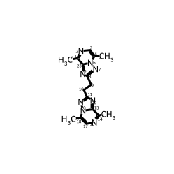 Cc1ncc(C)n2nc(CCc3nc4c(C)ncc(C)n4n3)nc12